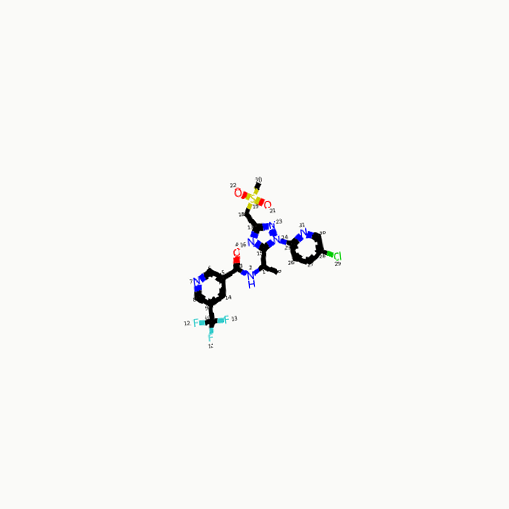 CC(NC(=O)c1cncc(C(F)(F)F)c1)c1nc(CS(C)(=O)=O)nn1-c1ccc(Cl)cn1